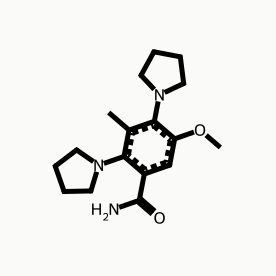 COc1cc(C(N)=O)c(N2CCCC2)c(C)c1N1CCCC1